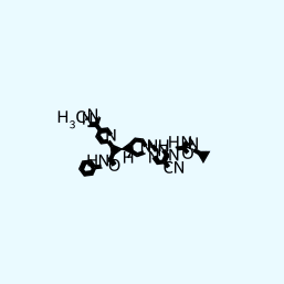 Cn1cc(-c2ccc(C3C(C(=O)NCc4ccccc4)[C@@H]3C3=C4CCN(Nc5ncc(C#N)c(NCc6nnc(C7CC7)o6)n5)CC[C@@H]43)nc2)cn1